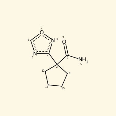 NC(=O)C1(c2ncon2)CCCC1